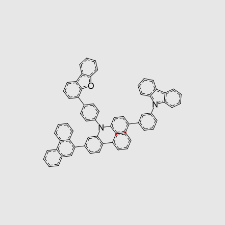 c1ccc(-c2ccc(-c3cc4ccccc4c4ccccc34)cc2N(c2ccc(-c3cccc(-n4c5ccccc5c5ccccc54)c3)cc2)c2ccc(-c3cccc4c3oc3ccccc34)cc2)cc1